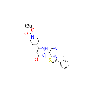 Cc1ccccc1-c1csc(/C(C=N)=C2\NC(=O)C=C(C3CCN(C(=O)OC(C)(C)C)CC3)N2)n1